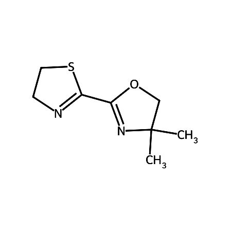 CC1(C)COC(C2=NCCS2)=N1